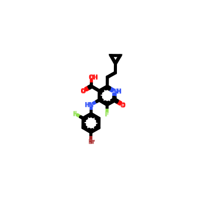 O=C(O)c1c(CCC2CC2)[nH]c(=O)c(F)c1Nc1ccc(Br)cc1F